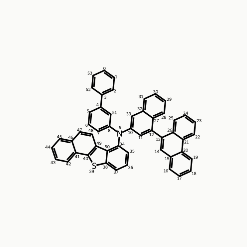 c1ccc(-c2cccc(N(c3cc(-c4cc5ccccc5c5ccccc45)c4ccccc4c3)c3cccc4sc5c6ccccc6ccc5c34)c2)cc1